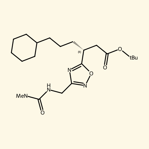 CNC(=O)NCc1noc([C@H](CCCC2CCCCC2)CC(=O)OC(C)(C)C)n1